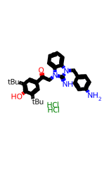 CC(C)(C)c1cc(C(=O)Cn2c(=N)n(Cc3ccc(N)cc3)c3ccccc32)cc(C(C)(C)C)c1O.Cl.Cl